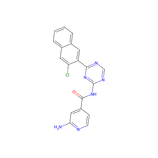 Nc1cc(C(=O)Nc2ncnc(-c3cc4ccccc4cc3Cl)n2)ccn1